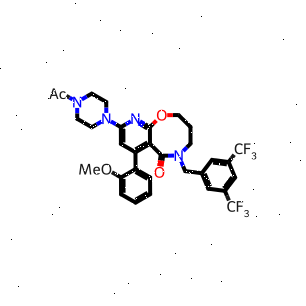 COc1ccccc1-c1cc(N2CCN(C(C)=O)CC2)nc2c1C(=O)N(Cc1cc(C(F)(F)F)cc(C(F)(F)F)c1)CCCO2